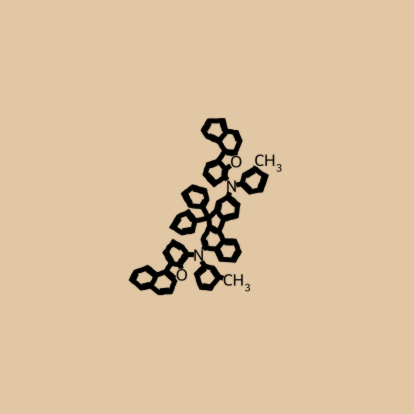 Cc1cccc(N(c2ccc3c(c2)C(c2ccccc2)(c2ccccc2)c2cc(N(c4cccc(C)c4)c4cccc5c4oc4ccc6ccccc6c45)c4ccccc4c2-3)c2cccc3c2oc2ccc4ccccc4c23)c1